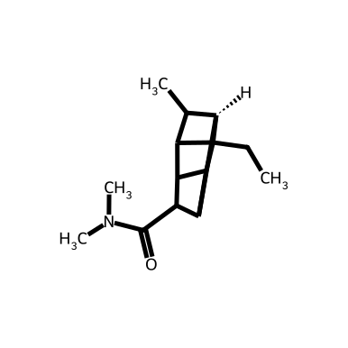 CCC12C3C4C(C(=O)N(C)C)C(C41)[C@@H]2C3C